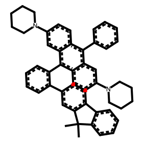 CC1(C)c2ccccc2-c2ccc(-c3ccccc3-c3c4ccc(N5CCCCC5)cc4c(-c4ccccc4)c4ccc(N5CCCCC5)cc34)cc21